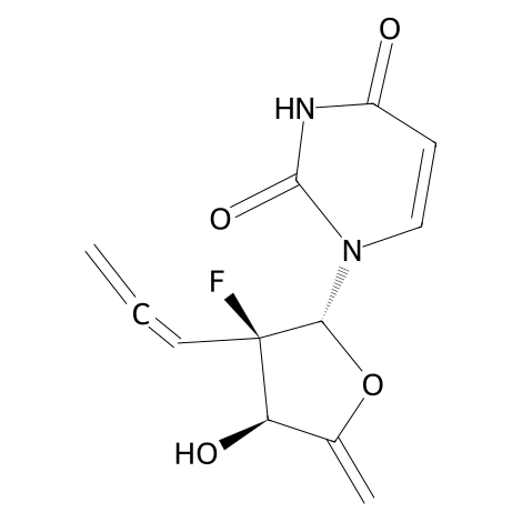 C=C=C[C@@]1(F)[C@H](O)C(=C)O[C@H]1n1ccc(=O)[nH]c1=O